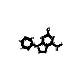 CNc1nc(Cl)nc2c1CCN2c1ccccc1